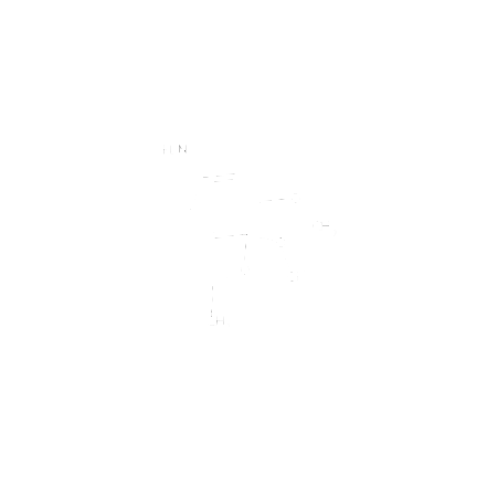 CCOC1(OC)C=CC(N)=CC1OC